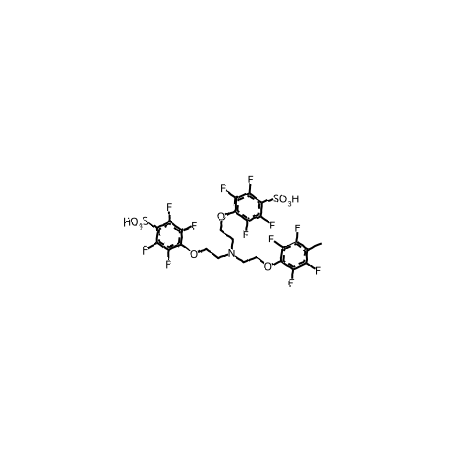 Cc1c(F)c(F)c(OCCN(CCOc2c(F)c(F)c(S(=O)(=O)O)c(F)c2F)CCOc2c(F)c(F)c(S(=O)(=O)O)c(F)c2F)c(F)c1F